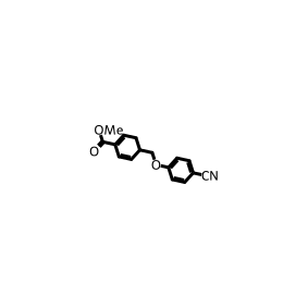 COC(=O)C1=CCC(COc2ccc(C#N)cc2)C=C1